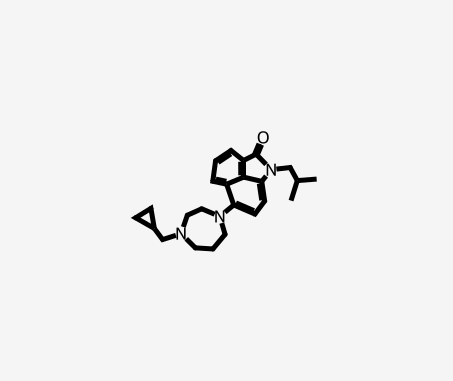 CC(C)CN1C(=O)c2cccc3c(N4CCCN(CC5CC5)CC4)ccc1c23